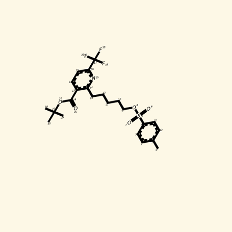 Cc1ccc(S(=O)(=O)OCCCCCc2nc(C(F)(F)F)ccc2C(=O)OC(C)(C)C)cc1